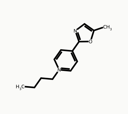 CCCC[n+]1ccc(-c2ncc(C)o2)cc1